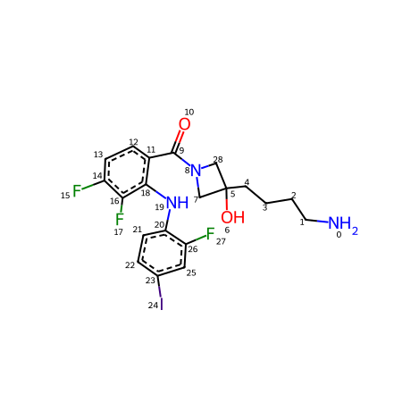 NCCCCC1(O)CN(C(=O)c2ccc(F)c(F)c2Nc2ccc(I)cc2F)C1